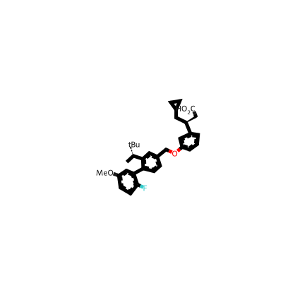 COc1ccc(F)c(-c2ccc(COc3cccc([C@H](CC(=O)O)CC4CC4)c3)cc2[C@H](C)C(C)(C)C)c1